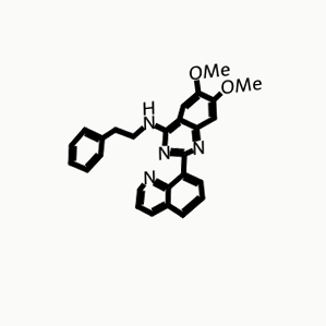 COc1cc2nc(-c3cccc4cccnc34)nc(NCCc3ccccc3)c2cc1OC